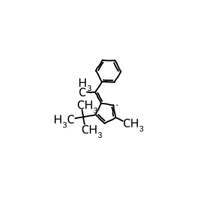 CC1=[C]C(=C(C)c2ccccc2)C(C(C)(C)C)=C1